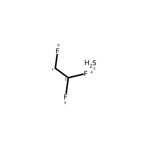 FCC(F)F.S